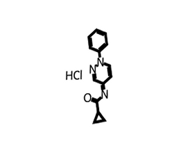 Cl.O=C(N=c1ccn(-c2ccccc2)nc1)C1CC1